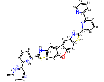 C=C/N=C(\C=C/C)c1cccc(-c2nc3cc4c(cc3s2)oc2cc3sc(-c5cccc(-c6ccccn6)n5)nc3cc24)n1